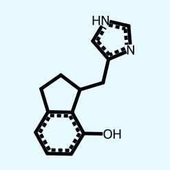 Oc1cccc2c1C(Cc1c[nH]cn1)CC2